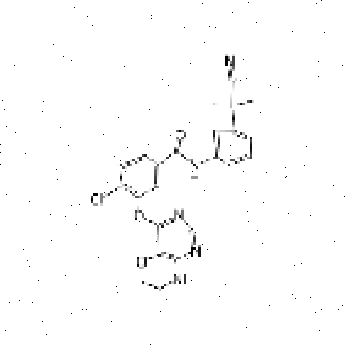 CC(C)(C#N)c1cccc(NC(=O)c2ccc(Cl)c(Oc3ncnc4c3OCCN4)c2)c1